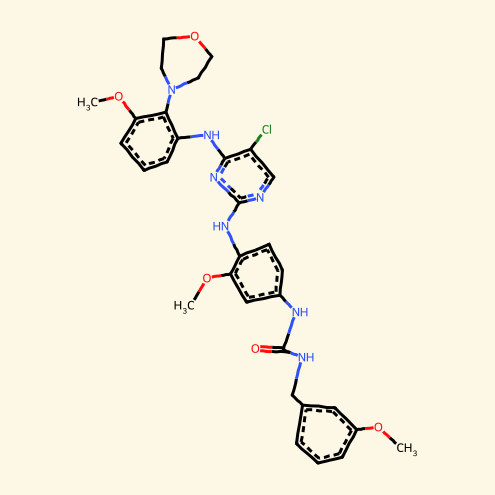 COc1cccc(CNC(=O)Nc2ccc(Nc3ncc(Cl)c(Nc4cccc(OC)c4N4CCOCC4)n3)c(OC)c2)c1